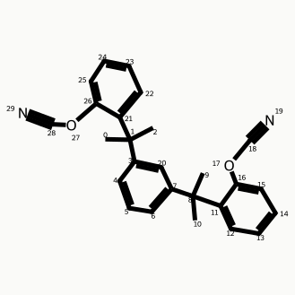 CC(C)(c1cccc(C(C)(C)c2ccccc2OC#N)c1)c1ccccc1OC#N